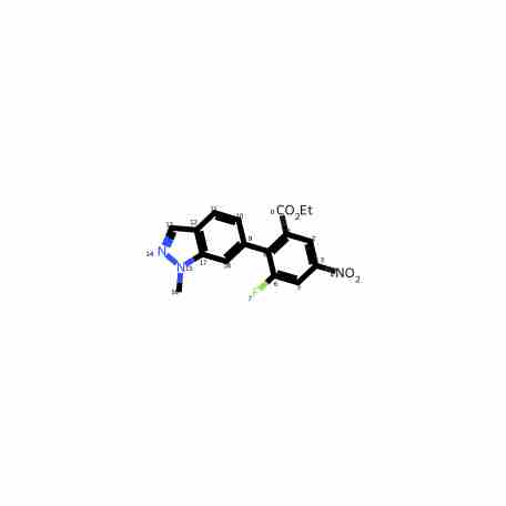 CCOC(=O)c1cc([N+](=O)[O-])cc(F)c1-c1ccc2cnn(C)c2c1